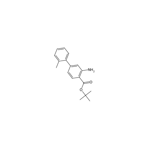 Cc1ccccc1-c1ccc(C(=O)OC(C)(C)C)c(N)c1